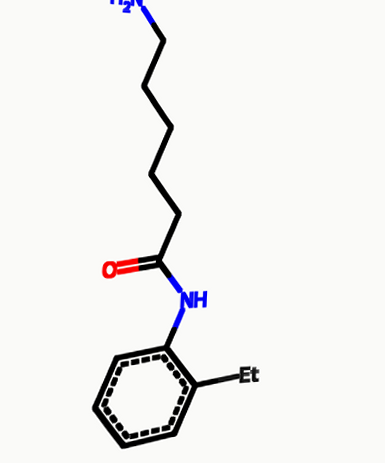 CCc1ccccc1NC(=O)CCCCCN